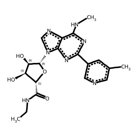 CCNC(=O)[C@H]1O[C@@H](n2cnc3c(NC)nc(-c4cncc(C)c4)nc32)[C@H](O)[C@@H]1O